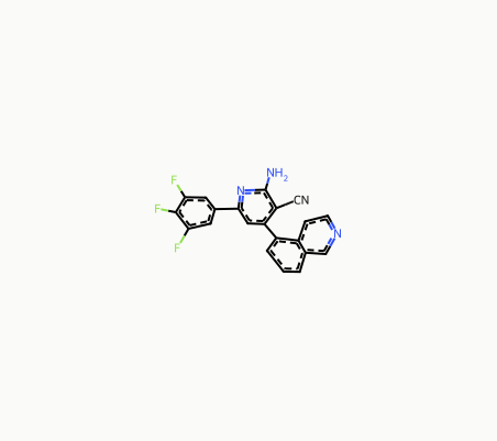 N#Cc1c(-c2cccc3cnccc23)cc(-c2cc(F)c(F)c(F)c2)nc1N